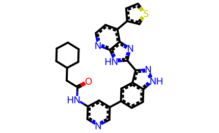 O=C(CC1CCCCC1)Nc1cncc(-c2ccc3[nH]nc(-c4nc5c(-c6ccsc6)ccnc5[nH]4)c3c2)c1